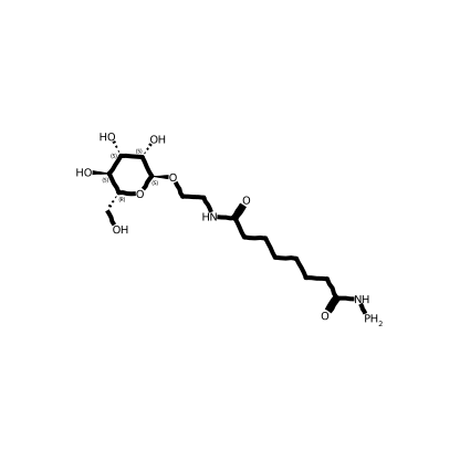 O=C(CCCCCCC(=O)NCCO[C@H]1O[C@H](CO)[C@@H](O)[C@H](O)[C@@H]1O)NP